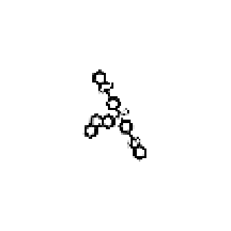 O=P(c1ccc(-c2nc3ccccc3s2)cc1)(c1ccc(-c2nc3ccccc3s2)cc1)c1ccc2c(ccc3ccccc32)c1